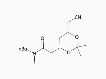 CCCCN(C)C(=O)CC1CC(CC#N)OC(C)(C)O1